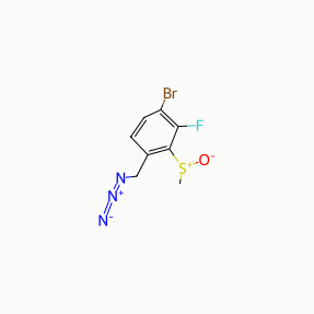 C[S+]([O-])c1c(CN=[N+]=[N-])ccc(Br)c1F